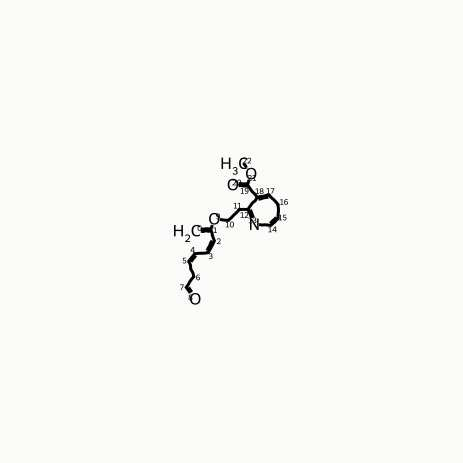 C=C(/C=C\C=C/CC=O)OCCC1=NC=CCC=C1C(=O)OC